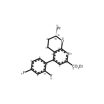 CCOC(=O)c1cc(-c2ccc(F)cc2F)c2c(n1)O[C@@H](C(C)C)CC2